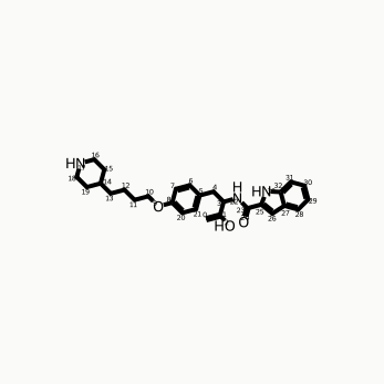 C=C(O)C(Cc1ccc(OCCCCC2CCNCC2)cc1)NC(=O)c1cc2ccccc2[nH]1